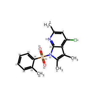 Cc1cc(Cl)c2c(C)c(C)n(S(=O)(=O)c3ccccc3C)c2n1